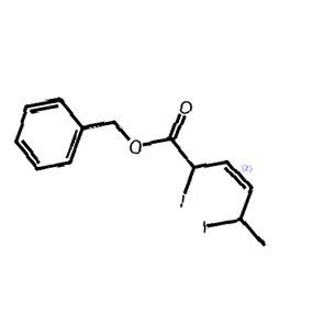 CC(I)/C=C\C(I)C(=O)OCc1ccccc1